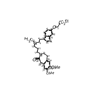 CCOC(=O)COc1ccc2c(CCN(C)CCCN3CCc4cc(OC)c(OC)cc4CC3=O)csc2c1